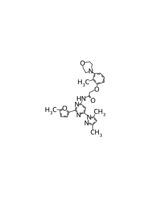 Cc1cc(C)n(-c2cc(NC(=O)COc3cccc(N4CCOCC4)c3C)nc(-c3ccc(C)o3)n2)n1